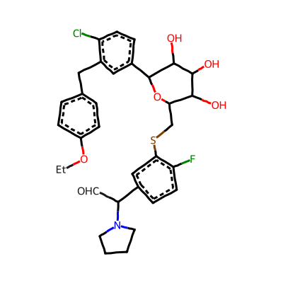 CCOc1ccc(Cc2cc(C3OC(CSc4cc(C(C=O)N5CCCC5)ccc4F)C(O)C(O)C3O)ccc2Cl)cc1